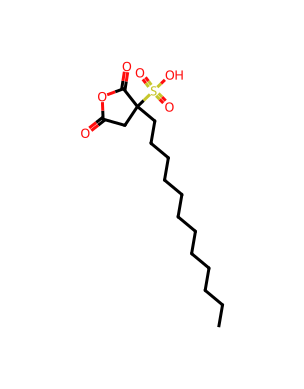 CCCCCCCCCCCCC1(S(=O)(=O)O)CC(=O)OC1=O